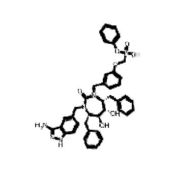 Nc1n[nH]c2ccc(CN3C(=O)N(Cc4cccc(OCP(=O)(O)Oc5ccccc5)c4)[C@H](Cc4ccccc4)[C@H](O)[C@@H](O)[C@H]3Cc3ccccc3)cc12